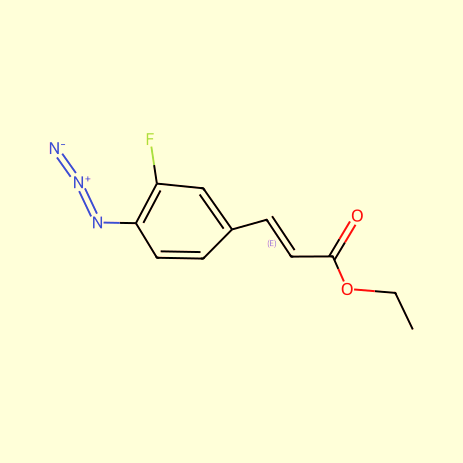 CCOC(=O)/C=C/c1ccc(N=[N+]=[N-])c(F)c1